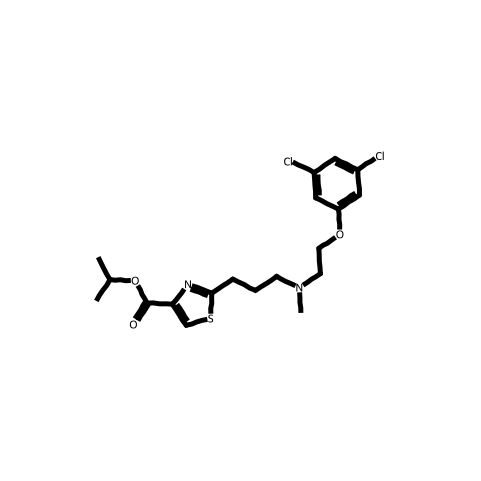 CC(C)OC(=O)c1csc(CCCN(C)CCOc2cc(Cl)cc(Cl)c2)n1